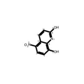 O=[N+]([O-])c1ccc(O)c2nc(O)ccc12